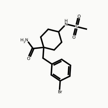 CS(=O)(=O)NC1CCC(Cc2cccc(Br)c2)(C(N)=O)CC1